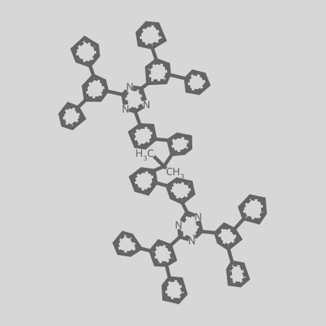 CC(C)(c1ccccc1-c1cccc(-c2nc(-c3cc(-c4ccccc4)cc(-c4ccccc4)c3)nc(-c3cc(-c4ccccc4)cc(-c4ccccc4)c3)n2)c1)c1ccccc1-c1cccc(-c2nc(-c3cc(-c4ccccc4)cc(-c4ccccc4)c3)nc(-c3cc(-c4ccccc4)cc(-c4ccccc4)c3)n2)c1